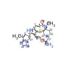 Cc1cc(-c2[nH]c3cc(C(=O)N(C)C4CCN(CC(N)=O)CC4)sc3c2C(C)C)cn2ncnc12